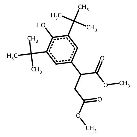 COC(=O)CC(C(=O)OC)c1cc(C(C)(C)C)c(O)c(C(C)(C)C)c1